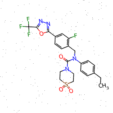 CCc1ccc(N(Cc2ccc(-c3nnc(C(F)(F)F)o3)cc2F)C(=O)N2CCS(=O)(=O)CC2)cc1